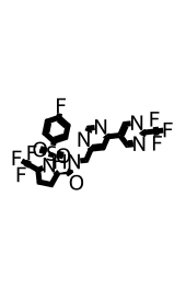 O=C(NCc1cc(-c2cnc(C(F)(F)F)nc2)ncn1)[C@H]1CCC(C(F)(F)F)N1S(=O)(=O)c1ccc(F)cc1